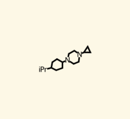 CC(C)C1CCC(N2CCN(C3CC3)CC2)CC1